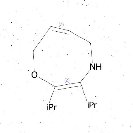 CC(C)/C1=C(\C(C)C)OC/C=C\CN1